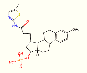 CC(=O)Oc1ccc2c(c1)CCC1C2CC[C@H]2C1[C@H](CCC(=O)Nc1ncc(C)s1)C[C@@H]2OP(=O)(O)O